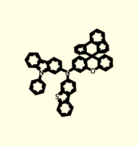 c1ccc(-n2c3ccccc3c3ccc(N(c4ccc5c(c4)Oc4ccccc4C54c5ccccc5-c5cccc6cccc4c56)c4ccc5c(c4)sc4ccccc45)cc32)cc1